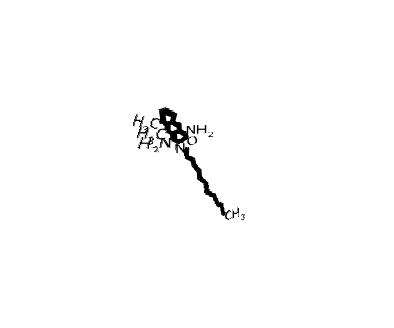 CCCCCCCCCCCCCN=C1C(=O)C(N)=c2cc3cccc(C)c3c(C)c2=C1N